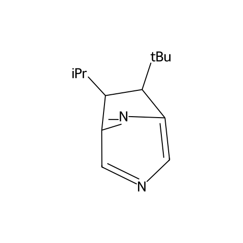 CC(C)C1c2cncc(n2)C1C(C)(C)C